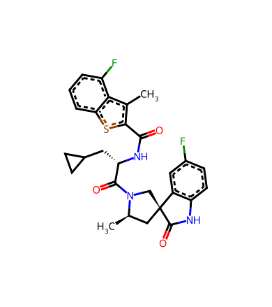 Cc1c(C(=O)N[C@@H](CC2CC2)C(=O)N2C[C@]3(C[C@H]2C)C(=O)Nc2ccc(F)cc23)sc2cccc(F)c12